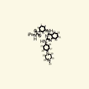 CC(C)NS(=O)(=O)c1cccc(Nc2nc(Nc3ccc(N4CCN(C)CC4)cc3)nc3ccccc23)c1